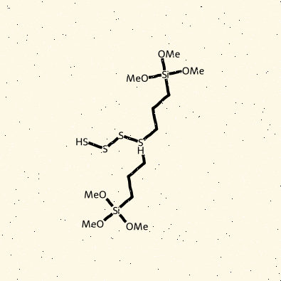 CO[Si](CCC[SH](CCC[Si](OC)(OC)OC)SSS)(OC)OC